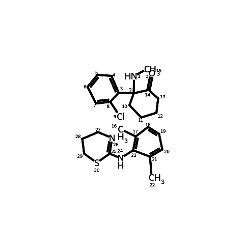 CNC1(c2ccccc2Cl)CCCCC1=O.Cc1cccc(C)c1NC1=NCCCS1